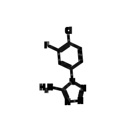 Nc1nnnn1-c1ccc(Cl)c(F)c1